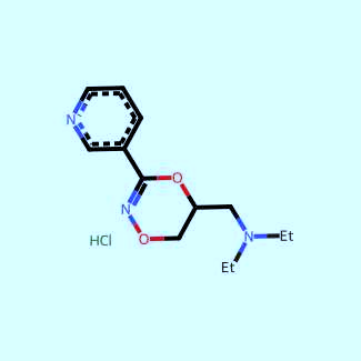 CCN(CC)CC1CON=C(c2cccnc2)O1.Cl